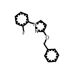 Fc1ccccc1-n1ccc(OCc2ccccc2)n1